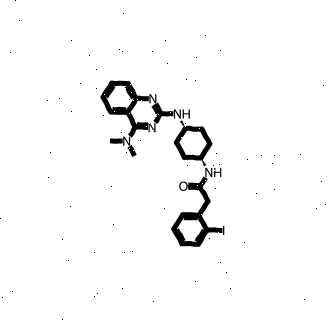 CN(C)c1nc(N[C@H]2CC[C@@H](NC(=O)Cc3ccccc3I)CC2)nc2ccccc12